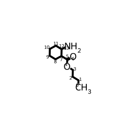 CCCCOC(=O)C1CCCCC1N